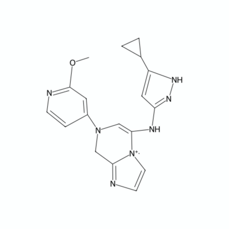 COc1cc(N2C=C(Nc3cc(C4CC4)[nH]n3)[N+]3C=CN=C3C2)ccn1